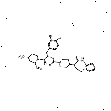 CC1CCN(C(=O)[C@@H](Cc2ccc(Br)c(Br)c2)OC(=O)N2CCC(N3CCc4ccccc4NC3=O)CC2)C(N)C1